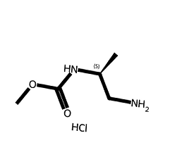 COC(=O)N[C@@H](C)CN.Cl